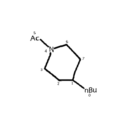 CCCCC1CCN(C(C)=O)CC1